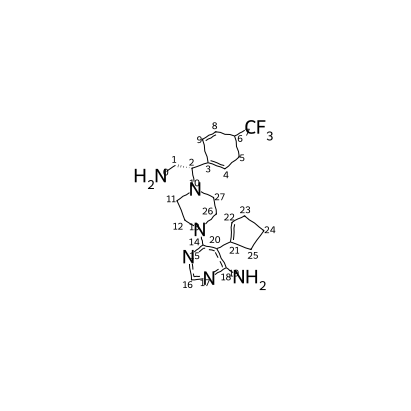 NC[C@H](C1=CCC(C(F)(F)F)C=C1)N1CCN(c2ncnc(N)c2C2=CCCC2)CC1